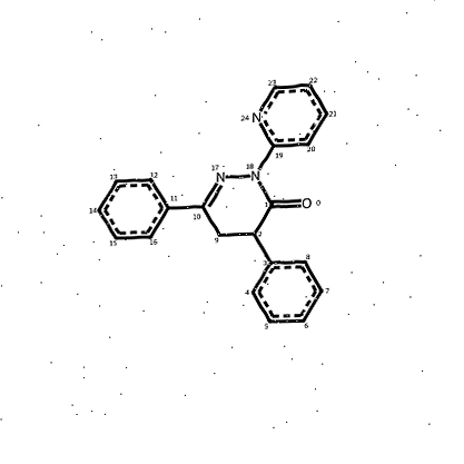 O=C1C(c2ccccc2)CC(c2ccccc2)=NN1c1ccccn1